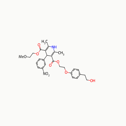 COCCOC(=O)C1=C(C)NC(C)=C(C(=O)OCCOc2ccc(CCO)cc2)C1c1cccc([N+](=O)[O-])c1